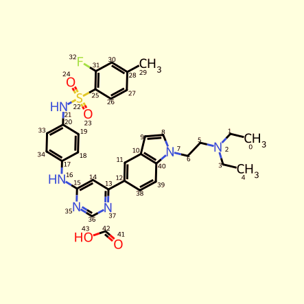 CCN(CC)CCn1ccc2cc(-c3cc(Nc4ccc(NS(=O)(=O)c5ccc(C)cc5F)cc4)ncn3)ccc21.O=CO